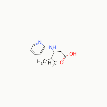 CC(C)[C@H](CC(=O)O)Nc1ccccn1